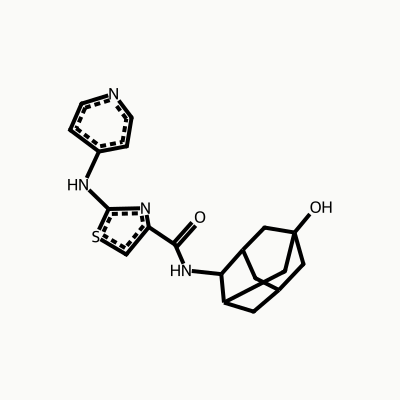 O=C(NC1C2CC3CC1CC(O)(C3)C2)c1csc(Nc2ccncc2)n1